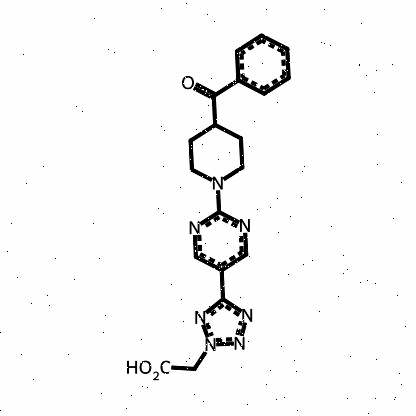 O=C(O)Cn1nnc(-c2cnc(N3CCC(C(=O)c4ccccc4)CC3)nc2)n1